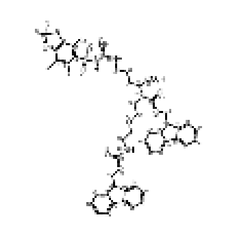 Cc1c(C)c(S(=O)(=O)NC(=N)NCCCC(C(=O)O)N(CCOCCNC(=O)OCC2c3ccccc3-c3ccccc32)C(=O)OCC2c3ccccc3-c3ccccc32)c(C)c2c1OC(C)(C)C2